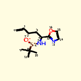 C=CCCC(N[S+]([O-])C(C)(C)C)c1ncco1